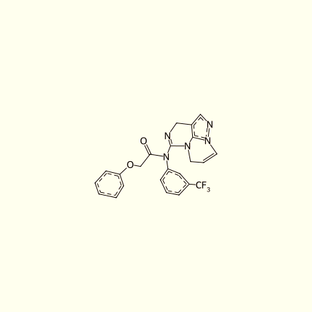 O=C(COc1ccccc1)N(C1=NCc2cnn3c2N1CC=C3)c1cccc(C(F)(F)F)c1